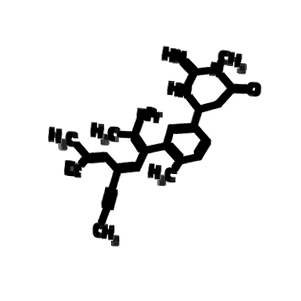 CC#CC(/C=C(/C)CC)=C/C(=C(\C)CCC)c1cc(C2CC(=O)N(C)C(=N)N2)ccc1C